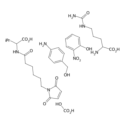 CC(C)C(NC(=O)CCCCCN1C(=O)C=CC1=O)C(=O)O.NC(=O)NCCCC(N)C(=O)O.Nc1ccc(CO)cc1.O=C(O)O.O=[N+]([O-])c1ccccc1O